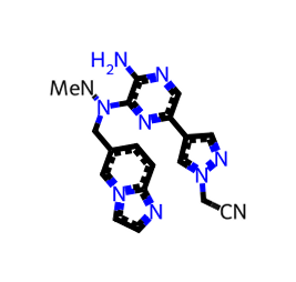 CNN(Cc1ccc2nccn2c1)c1nc(-c2cnn(CC#N)c2)cnc1N